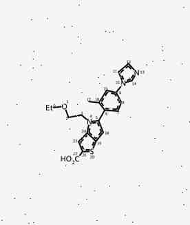 CCOCCn1c(-c2ccc(-n3ccnc3)cc2C)cc2sc(C(=O)O)cc21